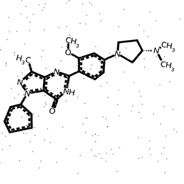 COc1cc(N2CC[C@H](N(C)C)C2)ccc1-c1nc2c(C)nn(-c3ccccc3)c2c(=O)[nH]1